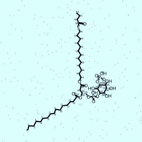 CCCCCCCCCCCCCCCC(=O)O[C@@H](COP(=O)(O)OC1C(O)[C@H](OP(=O)(O)O)C(O)[C@H](O)[C@@H]1O)CC(=O)OCCCCCCCCCCCCCSC(=O)CCC